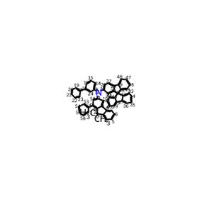 CC1(C)c2ccccc2-c2cc(N(c3cccc(-c4ccccc4)c3)c3ccc4c(c3)C3(c5ccccc5-c5ccccc53)c3ccccc3-4)cc(-c3ccccc3)c21